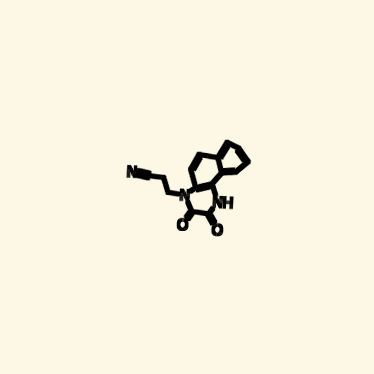 N#CCCn1c(=O)c(=O)[nH]c2c3ccccc3ccc21